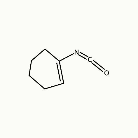 O=C=NC1=CCCCC1